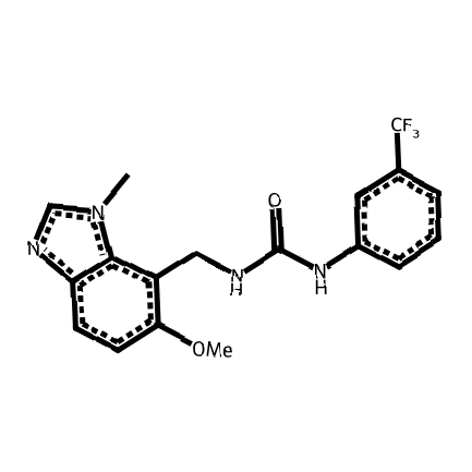 COc1ccc2ncn(C)c2c1CNC(=O)Nc1cccc(C(F)(F)F)c1